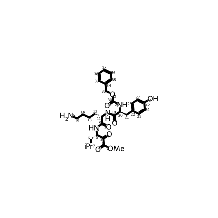 COC(=O)C(=O)[C@H](CC(C)C)NC(=O)[C@H](CCCCN)NC(=O)[C@H](Cc1ccc(O)cc1)NC(=O)OCc1ccccc1